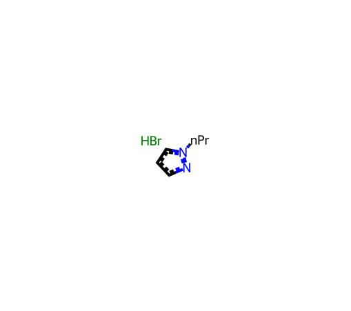 Br.CCCn1cccn1